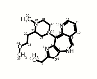 CCc1nc2c(s1)NC=c1cccnc1=C2N1CCN(C)C(CCOC)C1